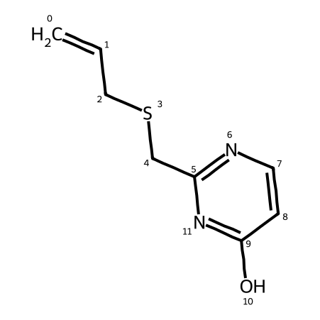 C=CCSCc1nccc(O)n1